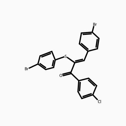 O=C(C(=Cc1ccc(Br)cc1)Sc1ccc(Br)cc1)c1ccc(Cl)cc1